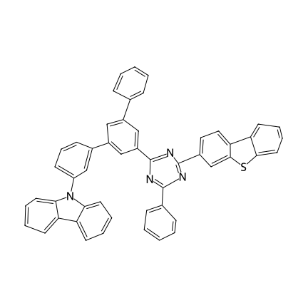 c1ccc(-c2cc(-c3cccc(-n4c5ccccc5c5ccccc54)c3)cc(-c3nc(-c4ccccc4)nc(-c4ccc5c(c4)sc4ccccc45)n3)c2)cc1